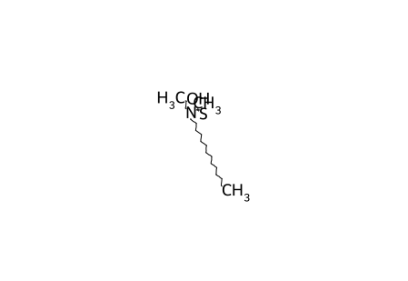 CCCCCCCCCCCCCCN(CC(C)O)C(C)=S